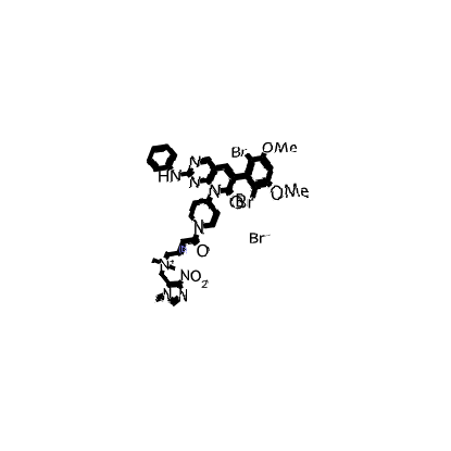 COc1cc(OC)c(Br)c(-c2cc3cnc(Nc4ccccc4)nc3n(C3CCN(C(=O)/C=C/C[N+](C)(C)Cc4c([N+](=O)[O-])ncn4C)CC3)c2=O)c1Br.[Br-]